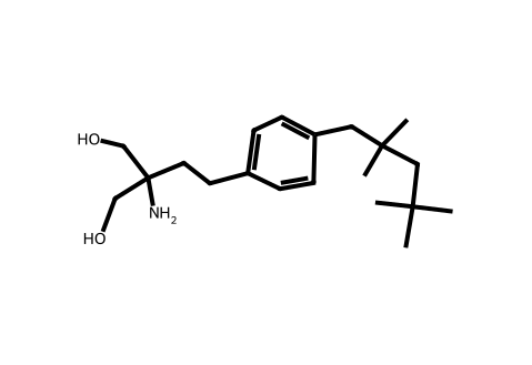 CC(C)(C)CC(C)(C)Cc1ccc(CCC(N)(CO)CO)cc1